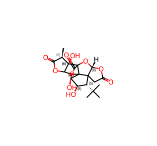 C[C@@H]1C(=O)OC2[C@H](O)C34C5OC(=O)C3(O[C@@H]3OC(=O)CC34[C@H](C(C)(C)C)[C@H]5O)[C@]21O